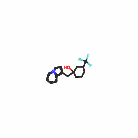 OC1(Cc2ccn3ccccc23)CCCC(C(F)(F)F)C1